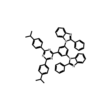 CC(C)c1ccc(-c2nc(-c3ccc(C(C)C)cc3)nc(-c3cc(-n4c(-c5ccccc5)nc5ccccc54)cc(-n4c(-c5ccccc5)nc5ccccc54)c3)n2)cc1